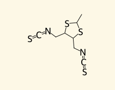 CC1SC(CN=C=S)C(CN=C=S)S1